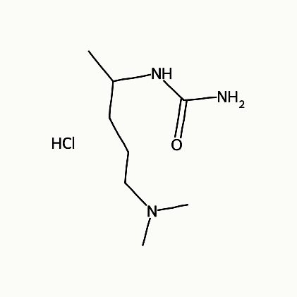 CC(CCCN(C)C)NC(N)=O.Cl